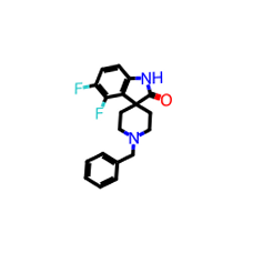 O=C1Nc2ccc(F)c(F)c2C12CCN(Cc1ccccc1)CC2